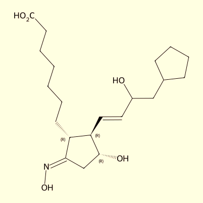 O=C(O)CCCCCC[C@H]1C(=NO)C[C@@H](O)[C@@H]1C=CC(O)CC1CCCC1